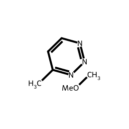 COC.Cc1ccnnn1